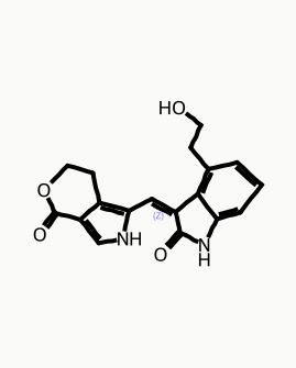 O=C1Nc2cccc(CCO)c2/C1=C/c1[nH]cc2c1CCOC2=O